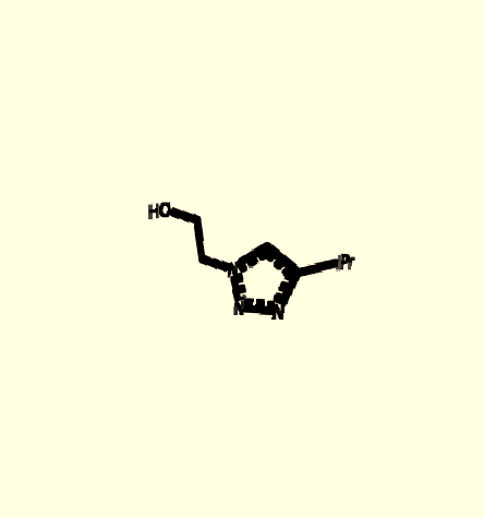 CC(C)c1cn(CCO)nn1